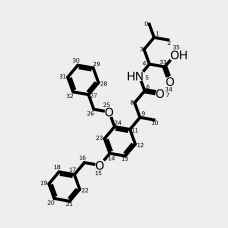 CC(C)CC(NC(=O)CC(C)c1ccc(OCc2ccccc2)cc1OCc1ccccc1)C(=O)O